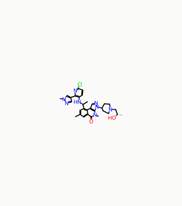 Cc1cc(C(C)Nc2ccc(Cl)nc2-c2cnn(C)c2)c2c(c1)c(=O)n(C)c1c2cnn1C1CCN(C[C@H](C)O)CC1